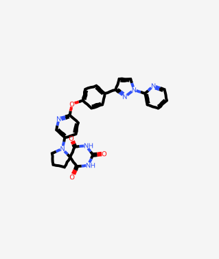 O=C1NC(=O)C2(CCCN2c2ccc(Oc3ccc(-c4ccn(-c5ccccn5)n4)cc3)nc2)C(=O)N1